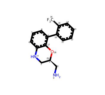 NC[C@H]1CNc2cccc(-c3ccccc3C(F)(F)F)c2O1